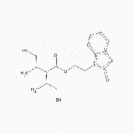 CC(CS)N(C(=O)OCCn1c(=O)sc2ccccc21)C(C)CS